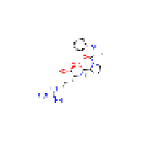 CC(Nc1ccccc1)C(=O)N1CCCC1C(=O)N[C@H](CCCNC(=N)N)C(=O)O